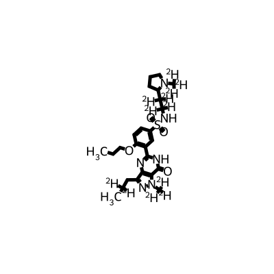 [2H]C([2H])(C)Cc1nn(C([2H])([2H])[2H])c2c(=O)[nH]c(-c3cc(S(=O)(=O)NC([2H])([2H])C([2H])([2H])C4CCCN4C([2H])([2H])[2H])ccc3OCCC)nc12